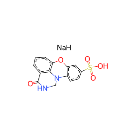 O=C1NCN2c3ccc(S(=O)(=O)O)cc3Oc3cccc1c32.[NaH]